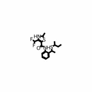 CCC(C)SC(C)c1ccccc1NC(=O)C1=C(C(F)F)NC(C)S1